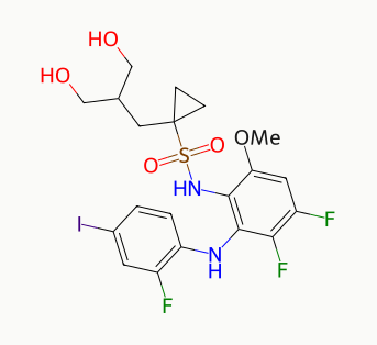 COc1cc(F)c(F)c(Nc2ccc(I)cc2F)c1NS(=O)(=O)C1(CC(CO)CO)CC1